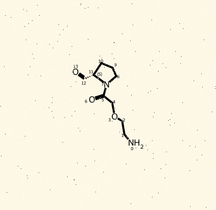 NCCOCC(=O)N1CCC[C@H]1C=O